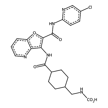 O=C(O)NCC1CCC(C(=O)Nc2c(C(=O)Nc3ccc(Cl)cn3)oc3cccnc23)CC1